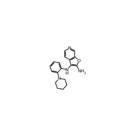 Nc1oc2cnccc2c1Nc1ccccc1N1CCCCC1